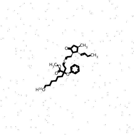 CC/C=C/[C@H]1[C@H](C)CC(=O)[C@@H]1CC=C=CCC(CCCCCC[16OH])(Oc1ccccc1)C(=O)OC